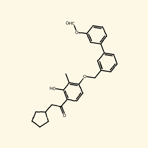 Cc1c(OCc2cccc(-c3cccc(OC=O)c3)c2)ccc(C(=O)CC2CCCC2)c1O